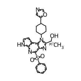 C[C@@H](O)c1nc2c(S(=O)(=O)c3ccccc3)nc3[nH]ccc3c2n1C1CCC(c2cnco2)CC1